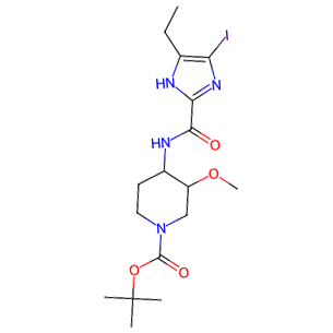 CCc1[nH]c(C(=O)NC2CCN(C(=O)OC(C)(C)C)CC2OC)nc1I